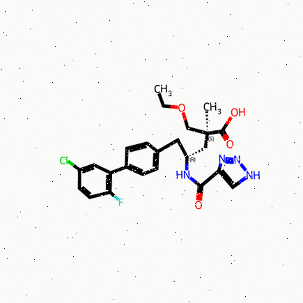 CCOC[C@](C)(C[C@@H](Cc1ccc(-c2cc(Cl)ccc2F)cc1)NC(=O)c1c[nH]nn1)C(=O)O